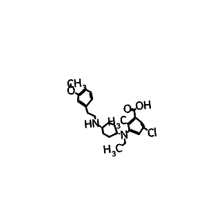 CCN(c1cc(Cl)cc(C(=O)O)c1C)[C@H]1CC[C@H](NCCc2cccc(OC)c2)CC1